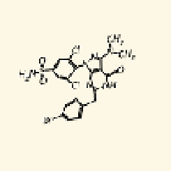 CN(C)c1nn(-c2c(Cl)cc(S(N)(=O)=O)cc2Cl)c2nc(Cc3ccc(Br)cc3)[nH]c(=O)c12